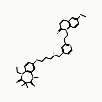 CCN1C(=O)C(C)(C)C(=O)N(C)c2cc(OCCCNCc3ccnc(CCN4C(=O)CCc5cc(OC)ccc54)c3)ccc21